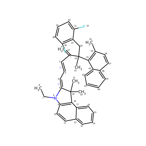 C=C(/C=C/C=C1/N(CC)c2ccc3ccccc3c2C1(C)C)C(C)(Cc1c(F)cccc1F)c1c(C)ccc2ccccc12